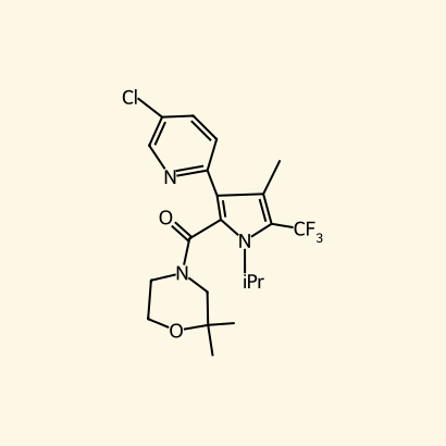 Cc1c(-c2ccc(Cl)cn2)c(C(=O)N2CCOC(C)(C)C2)n(C(C)C)c1C(F)(F)F